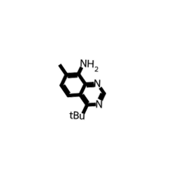 Cc1ccc2c(C(C)(C)C)ncnc2c1N